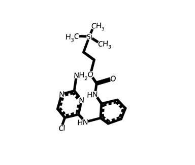 C[Si](C)(C)CCOC(=O)Nc1ccccc1Nc1nc(N)ncc1Cl